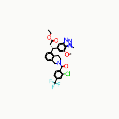 CCOC(=O)C[C@H](c1cc(OC)c2c(c1)nnn2C)c1cccc2c1CCN(C(=O)c1ccc(C(F)(F)F)cc1Cl)C2